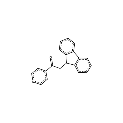 O=C(CC1c2ccccc2-c2ccccc21)c1ccncc1